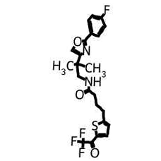 CC(C)(CNC(=O)CCCc1ccc(C(=O)C(F)(F)F)s1)c1coc(-c2ccc(F)cc2)n1